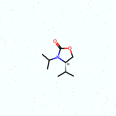 CC(C)[C@H]1COC(=O)N1C(C)C